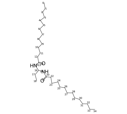 CCCCCCCCCCCCCC(=O)NC(CC)NC(=O)CCCCCCCCCCCCC